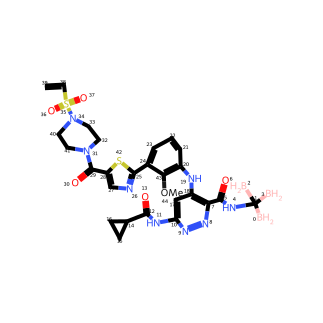 BC(B)(B)NC(=O)c1nnc(NC(=O)C2CC2)cc1Nc1cccc(-c2ncc(C(=O)N3CCN(S(=O)(=O)C=C)CC3)s2)c1OC